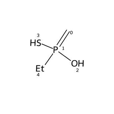 C=P(O)(S)CC